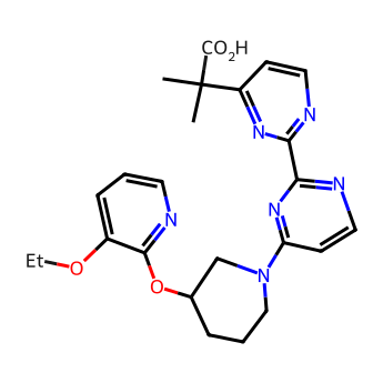 CCOc1cccnc1OC1CCCN(c2ccnc(-c3nccc(C(C)(C)C(=O)O)n3)n2)C1